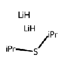 CC(C)SC(C)C.[LiH].[LiH]